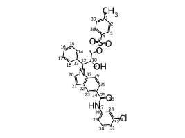 Cc1ccc(S(=O)(=O)OC[C@H](O)[C@H](c2ccccc2)n2ccc3cc(C(=O)Nc4cccc(Cl)c4)ccc32)cc1